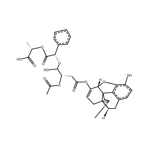 CC(=O)O[C@@H](CC(=O)OC1=CC[C@@]2(O)[C@H]3Cc4ccc(O)c5c4C2(CCN3C)[C@H]1O5)C(O)O[C@H](C(=O)O[C@@H](C)C(=O)O)c1ccccc1